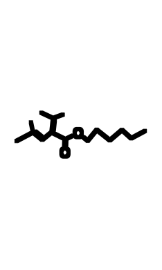 CCCCCCOC(=O)C(C=C(C)C)=C(C)C